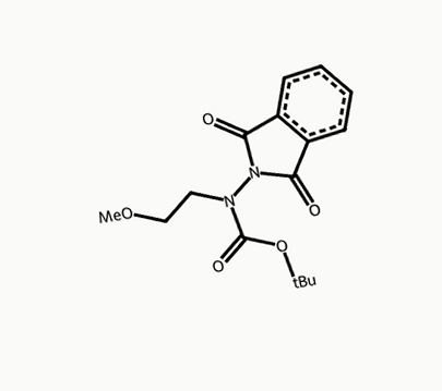 COCCN(C(=O)OC(C)(C)C)N1C(=O)c2ccccc2C1=O